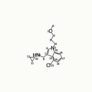 COCCCn1cc(CNC2CC2)c2c(Cl)cccc21